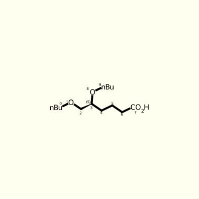 CCCCOC[C@H](CCCC(=O)O)OCCCC